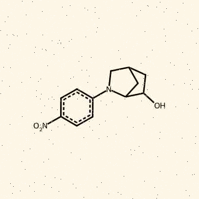 O=[N+]([O-])c1ccc(N2CC3CC(O)C2C3)cc1